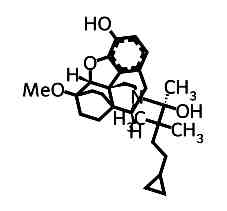 COC12CCC3(CC1)[C@H]1Cc4ccc(O)c5c4[C@@]3(CCN1[C@@](C)(O)C(C)(C)CCC1CC1)[C@H]2O5